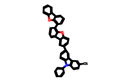 N#Cc1ccc2c(c1)c1cc(-c3ccc4oc5c(-c6cccc7c6oc6ccccc67)cccc5c4c3)ccc1n2-c1ccccc1